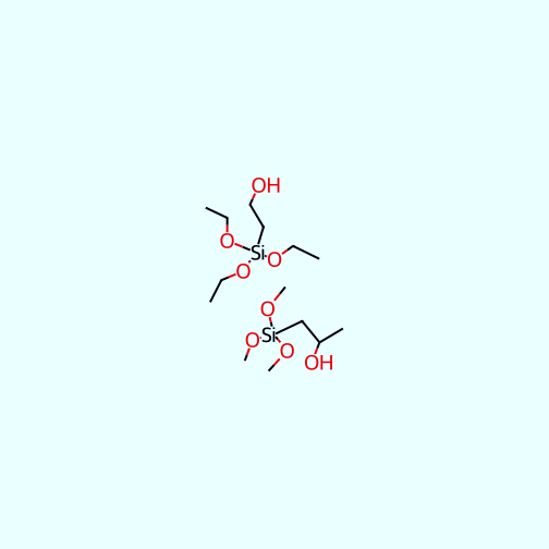 CCO[Si](CCO)(OCC)OCC.CO[Si](CC(C)O)(OC)OC